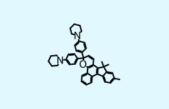 Cc1ccc2c(c1)C(C)(C)c1c3c(c4ccccc4c1-2)OC(c1ccc(N2CCCCC2)cc1)(c1ccc(N2CCCCC2)cc1)C=C3